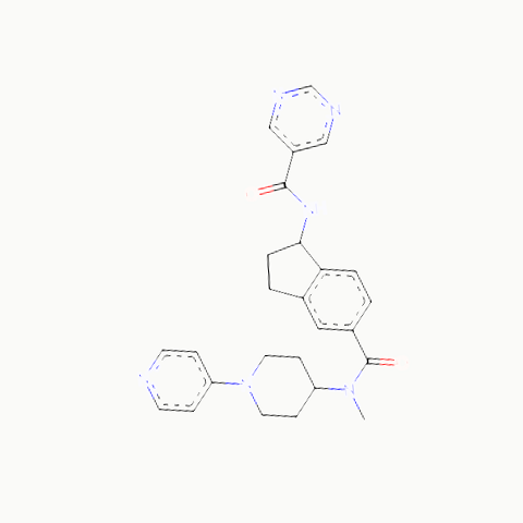 CN(C(=O)c1ccc2c(c1)CCC2NC(=O)c1cncnc1)C1CCN(c2ccncc2)CC1